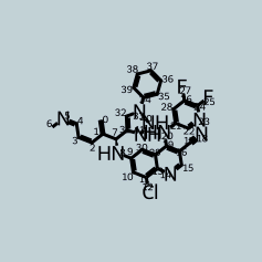 C=C(/C=C\C=N/C)[C@H](Nc1cc(Cl)c2ncc(C#N)c(Nc3cnc(F)c(F)c3)c2c1)C1=CN(c2ccccc2)NN1